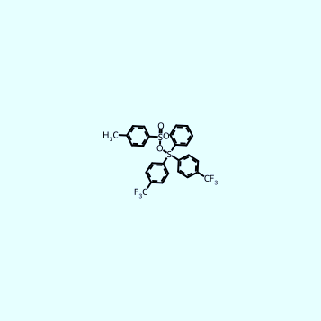 Cc1ccc(S(=O)(=O)OS(c2ccccc2)(c2ccc(C(F)(F)F)cc2)c2ccc(C(F)(F)F)cc2)cc1